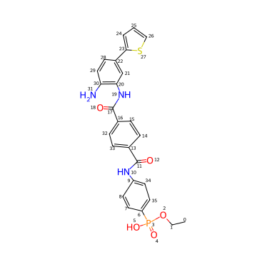 CCOP(=O)(O)c1ccc(NC(=O)c2ccc(C(=O)Nc3cc(-c4cccs4)ccc3N)cc2)cc1